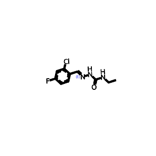 CCNC(=O)N/N=C/c1ccc(F)cc1Cl